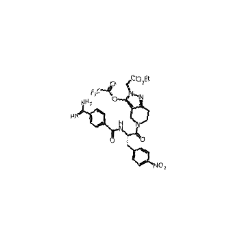 CCOC(=O)Cn1nc2c(c1OC(=O)C(F)(F)F)CN(C(=O)[C@H](Cc1ccc([N+](=O)[O-])cc1)NC(=O)c1ccc(C(=N)N)cc1)CC2